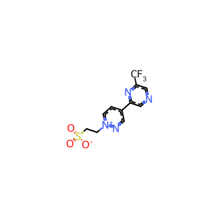 O=S(=O)([O-])CC[n+]1ccc(-c2cncc(C(F)(F)F)n2)cn1